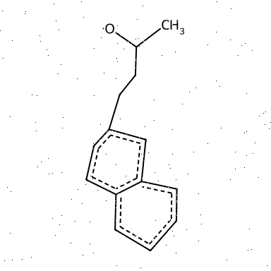 CC([O])CCc1ccc2ccccc2c1